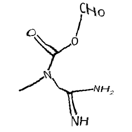 CN(C(=N)N)C(=O)OC=O